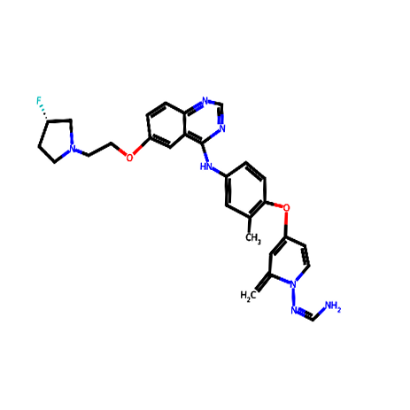 C=C1C=C(Oc2ccc(Nc3ncnc4ccc(OCCN5CC[C@H](F)C5)cc34)cc2C)C=CN1/N=C\N